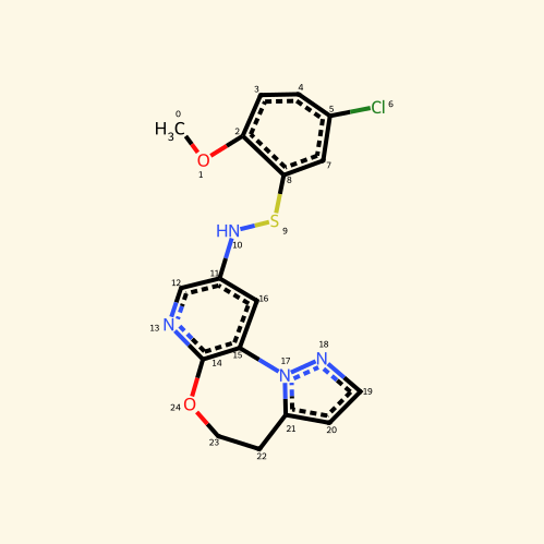 COc1ccc(Cl)cc1SNc1cnc2c(c1)-n1nccc1CCO2